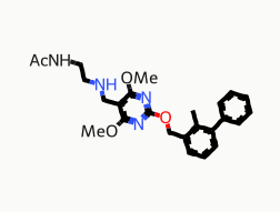 COc1nc(OCc2cccc(-c3ccccc3)c2C)nc(OC)c1CNCCNC(C)=O